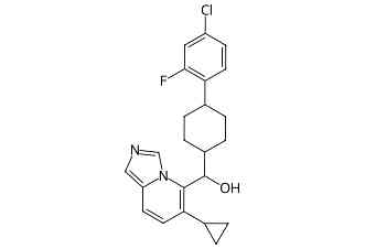 OC(c1c(C2CC2)ccc2cncn12)C1CCC(c2ccc(Cl)cc2F)CC1